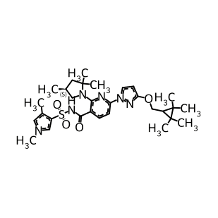 Cc1cn(C)cc1S(=O)(=O)NC(=O)c1ccc(-n2ccc(OCC3C(C)(C)C3(C)C)n2)nc1N1C[C@@H](C)CC1(C)C